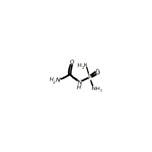 NC(=O)NP(N)(N)=O